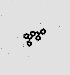 C(=C(c1ccccc1)c1ccccc1)c1cccc(C=C(c2ccccc2)c2ccccc2)c1